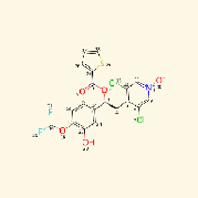 O=C(O[C@@H](Cc1c(Cl)c[n+]([O-])cc1Cl)c1ccc(OC(F)F)c(O)c1)c1cccs1